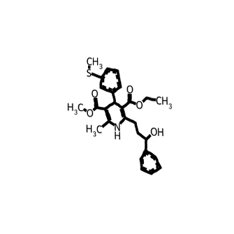 CCOC(=O)C1=C(CCC(O)c2ccccc2)NC(C)=C(C(=O)OC)C1c1cccc(SC)c1